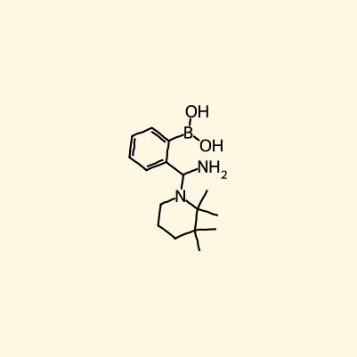 CC1(C)CCCN(C(N)c2ccccc2B(O)O)C1(C)C